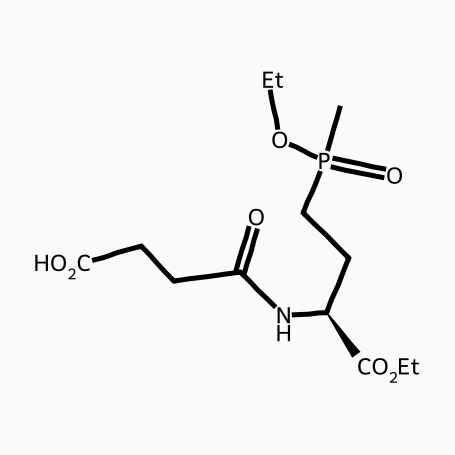 CCOC(=O)[C@H](CCP(C)(=O)OCC)NC(=O)CCC(=O)O